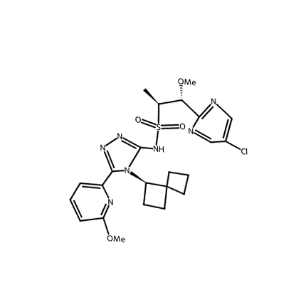 COc1cccc(-c2nnc(NS(=O)(=O)[C@@H](C)[C@H](OC)c3ncc(Cl)cn3)n2[C@@H]2CCC23CCC3)n1